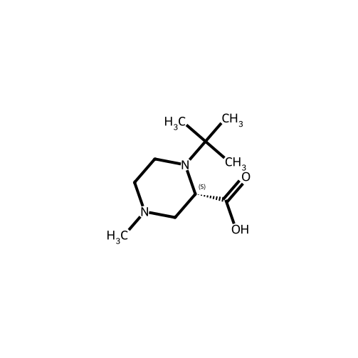 CN1CCN(C(C)(C)C)[C@H](C(=O)O)C1